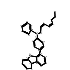 CCC/C=C\C=C/CN(c1ccccc1)c1ccc(-c2cccc3c2OC2=CC=CCC23)cc1